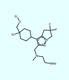 CCOCC1(CC)CCC(c2c(CN(C)CCNC)nn3c2CC(F)(F)C3)CC1